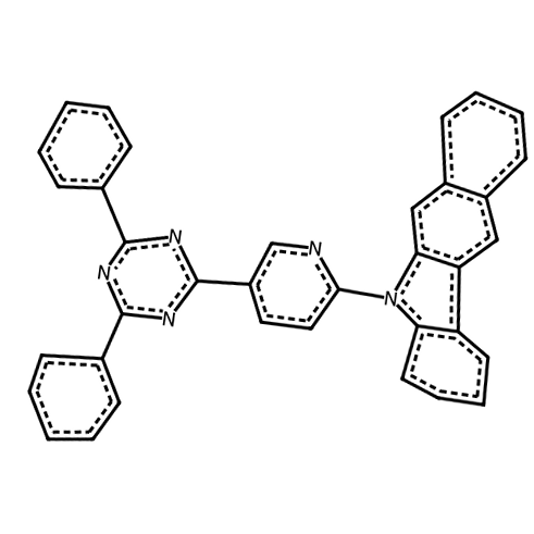 c1ccc(-c2nc(-c3ccccc3)nc(-c3ccc(-n4c5ccccc5c5cc6ccccc6cc54)nc3)n2)cc1